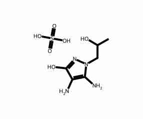 CC(O)Cn1nc(O)c(N)c1N.O=S(=O)(O)O